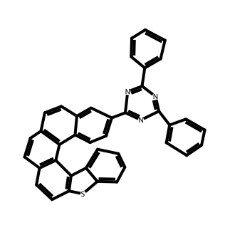 c1ccc(-c2nc(-c3ccccc3)nc(-c3ccc4c(ccc5ccc6ccc7sc8ccccc8c7c6c54)c3)n2)cc1